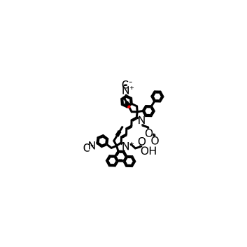 [C-]#[N+]c1cccc(CC2(CC#CC)C(/C=C/C=C/C=C3\N(CCOC=O)c4ccc(-c5ccccc5)cc4C3(CC#CC)Cc3cccc([N+]#[C-])c3)=[N+](CCC(=O)O)c3c2c2ccccc2c2ccccc32)c1